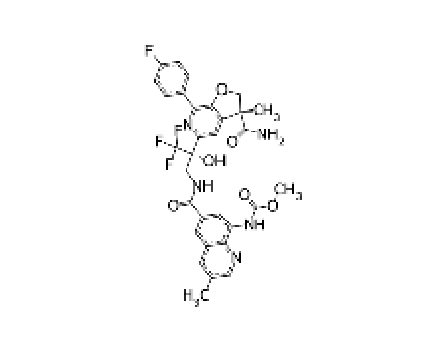 COC(=O)Nc1cc(C(=O)NC[C@](O)(c2cc3c(c(-c4ccc(F)cc4)n2)OC[C@]3(C)C(N)=O)C(F)(F)F)cc2cc(C)cnc12